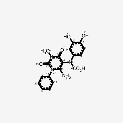 Cn1c(=O)c(N(C(=O)O)c2ccc(O)c(O)c2)c(N)n(-c2ccccc2)c1=O